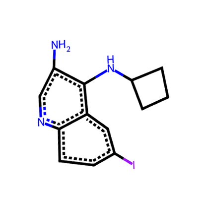 Nc1cnc2ccc(I)cc2c1NC1CCC1